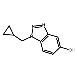 Oc1ccc2c(c1)nnn2CC1CC1